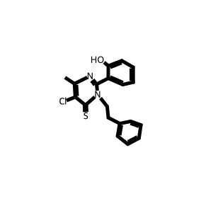 Cc1nc(-c2ccccc2O)n(CCc2ccccc2)c(=S)c1Cl